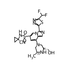 C[C@H]1CN(c2cc(S(=O)(=O)NC3(C#N)CC3)cn3c(-c4nnc(C(F)F)s4)ncc23)C[C@H](CO)N1